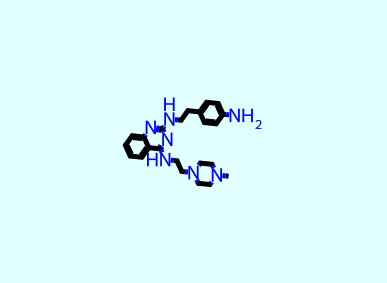 CN1CCN(CCNc2nc(NCCc3ccc(N)cc3)nc3ccccc23)CC1